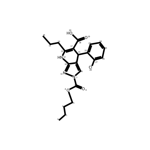 CCCCOC(=O)n1cc2c(n1)NC(CCC)=C(C(=O)O)C2c1ccccc1Cl